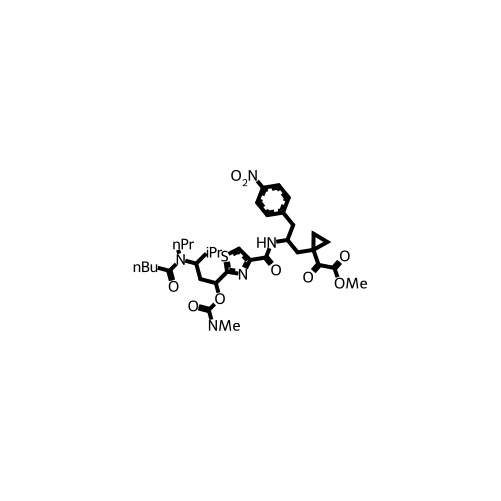 CCCCC(=O)N(CCC)C(CC(OC(=O)NC)c1nc(C(=O)NC(Cc2ccc([N+](=O)[O-])cc2)CC2(C(=O)C(=O)OC)CC2)cs1)C(C)C